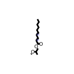 CCCCC/C=C/C=C/C(=O)OCC(C)OC